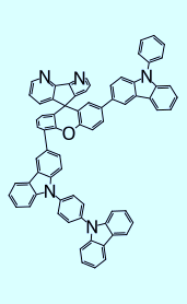 c1ccc(-n2c3ccccc3c3cc(-c4ccc5c(c4)C4(c6cccnc6-c6ncccc64)c4cccc(-c6ccc7c(c6)c6ccccc6n7-c6ccc(-n7c8ccccc8c8ccccc87)cc6)c4O5)ccc32)cc1